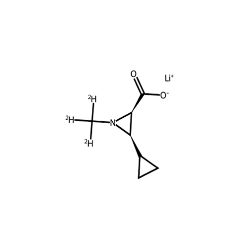 [2H]C([2H])([2H])N1[C@H](C2CC2)[C@@H]1C(=O)[O-].[Li+]